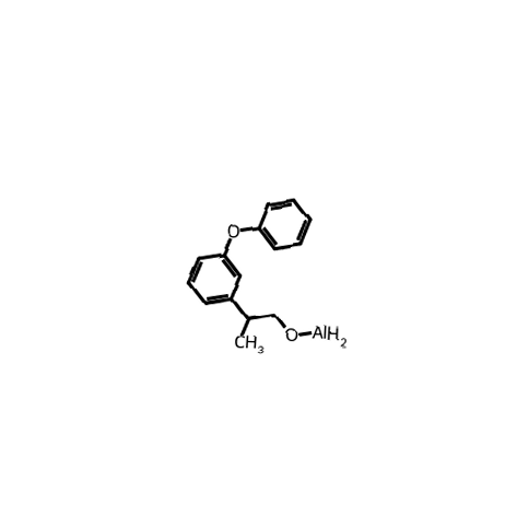 CC(C[O][AlH2])c1cccc(Oc2ccccc2)c1